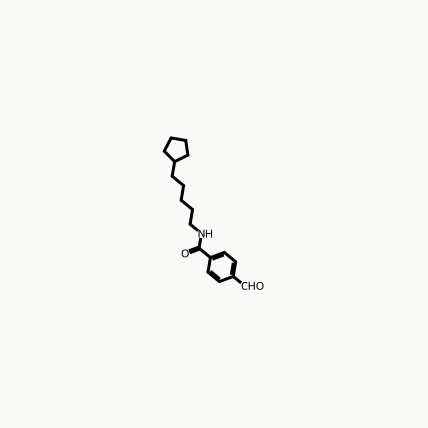 O=Cc1ccc(C(=O)NCCCCCC2CCCC2)cc1